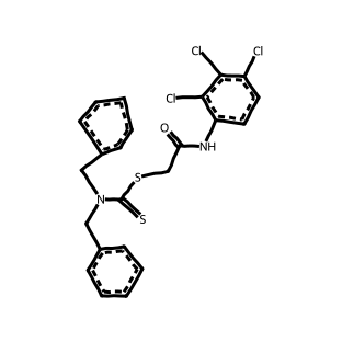 O=C(CSC(=S)N(Cc1ccccc1)Cc1ccccc1)Nc1ccc(Cl)c(Cl)c1Cl